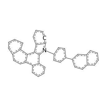 c1ccc2cc(-c3ccc(-n4c5ccccc5c5c6c7ccccc7ccc6c6ccccc6c54)cc3)ccc2c1